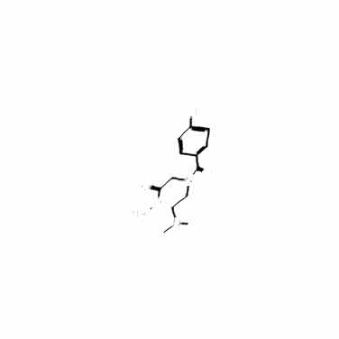 CN(C)CCN(CC(=O)OC(C)(C)C)C(=O)c1ccc(Cl)cc1